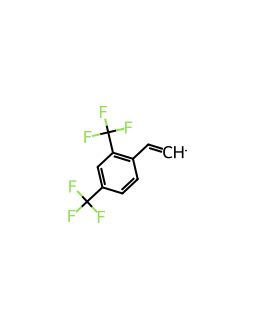 [CH]=Cc1ccc(C(F)(F)F)cc1C(F)(F)F